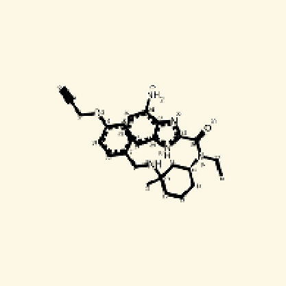 C#CCOc1ccc(CNC2(C)CCC[C@H](N(CC)C(=O)c3nc4c(N)cccc4[nH]3)C2)cc1